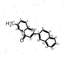 Cc1ccc2nc(-c3ccc4ccccc4c3)cc(=O)n2c1